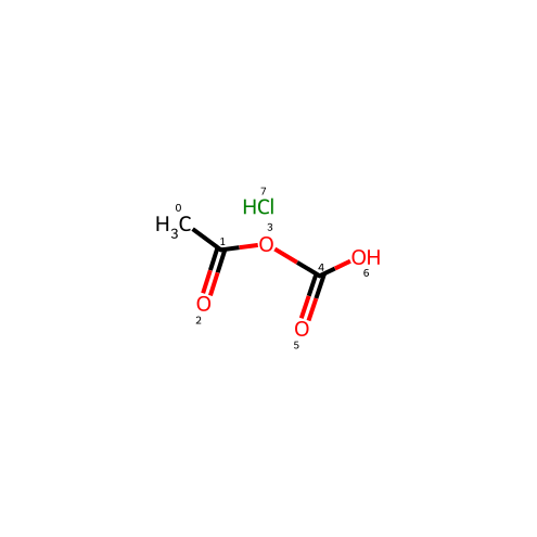 CC(=O)OC(=O)O.Cl